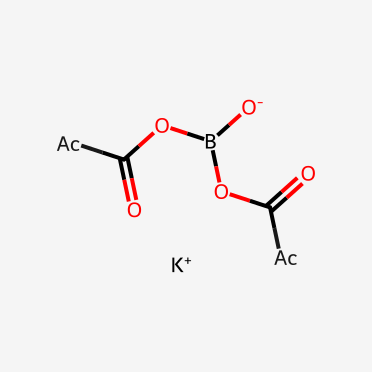 CC(=O)C(=O)OB([O-])OC(=O)C(C)=O.[K+]